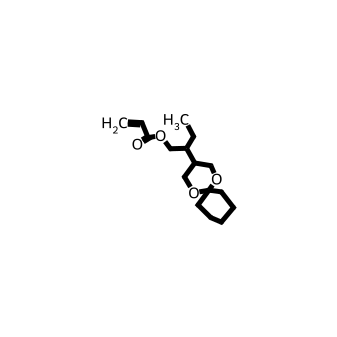 C=CC(=O)OCC(CC)C1COC2(CCCCC2)OC1